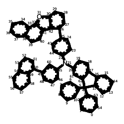 c1ccc(C2(c3ccccc3)c3ccccc3-c3ccc(N(c4ccc(-c5cccc6oc7c8ccccc8ccc7c56)cc4)c4cccc(-c5cccc6ccccc56)c4)cc32)cc1